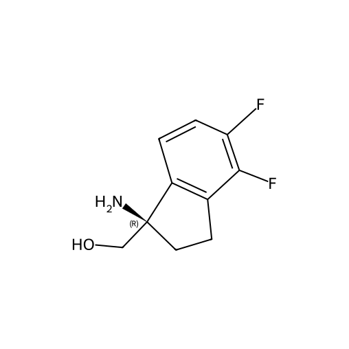 N[C@]1(CO)CCc2c1ccc(F)c2F